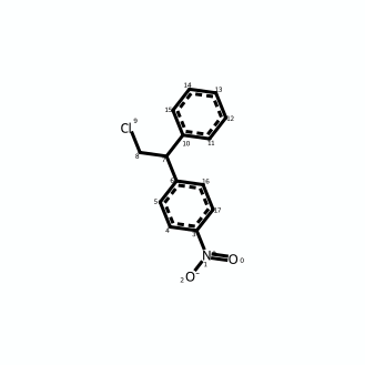 O=[N+]([O-])c1ccc(C(CCl)c2ccccc2)cc1